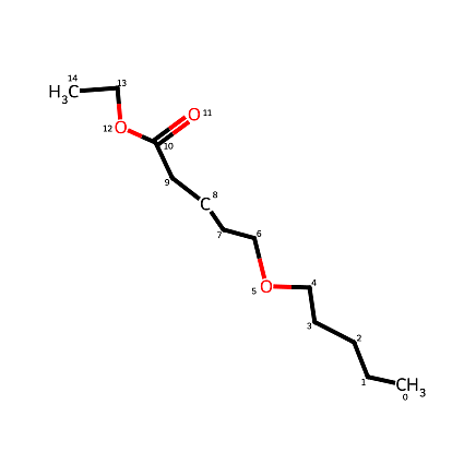 CCCCCOCCCCC(=O)OCC